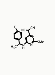 CSc1nc(N[C@@H](C)c2ccc(F)cc2)cc(C(C#N)C#N)n1